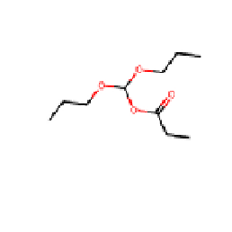 CCCOC(OCCC)OC(=O)CC